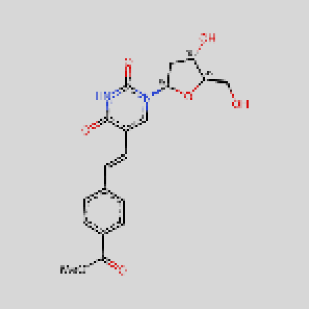 COC(=O)c1ccc(C=Cc2cn([C@H]3C[C@H](O)[C@@H](CO)O3)c(=O)[nH]c2=O)cc1